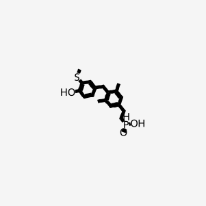 CSc1cc(Cc2c(C)cc(CC[PH](=O)O)cc2C)ccc1O